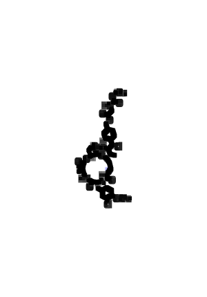 COc1ccc(C[C@H]2NC(=O)/C=C/C[C@@H](C(C)[C@@H](O)[C@@H](Cl)c3ccc(COC(=O)CNC(=O)OC(C)(C)C)cc3)OC(=O)[C@H](CC(C)C)OC(=O)C(C)(C)CNC2=O)cc1Cl